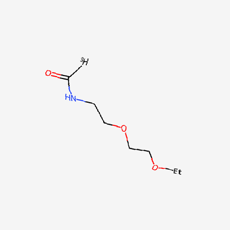 [3H]C(=O)NCCOCCOCC